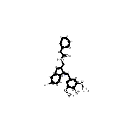 COc1cc(/C=C2/C(CNC(=O)Cc3ccccc3)=Cc3cc(F)ccc32)cc(OC)c1O